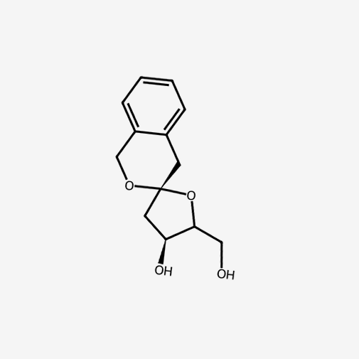 OCC1O[C@]2(Cc3ccccc3CO2)C[C@@H]1O